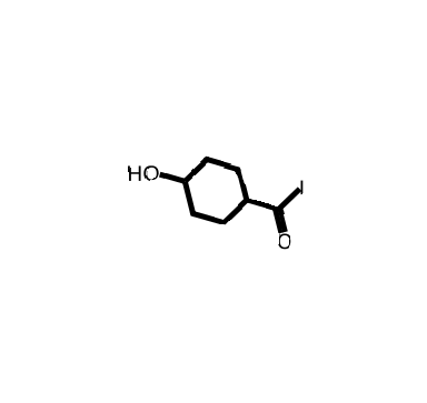 O=C(I)C1CCC(O)CC1